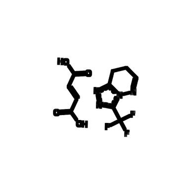 FC(F)(F)c1nnc2n1N=CCC2.O=C(O)C=CC(=O)O